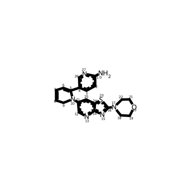 Nc1ccc(C2=CC=CCN2c2cnc3nc(N4CCOCC4)sc3c2)cn1